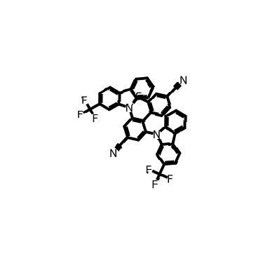 N#Cc1ccc(-c2c(-n3c4ccccc4c4ccc(C(F)(F)F)cc43)cc(C#N)cc2-n2c3ccccc3c3ccc(C(F)(F)F)cc32)c(F)c1